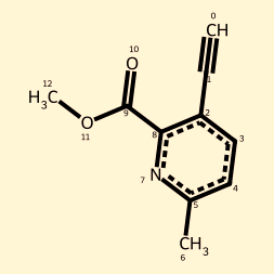 C#Cc1ccc(C)nc1C(=O)OC